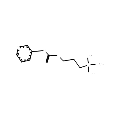 CO[Si](CCCNC(=S)Nc1cccnc1)(OC)OC